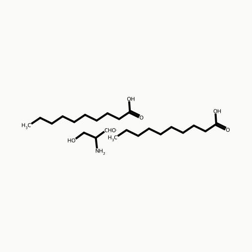 CCCCCCCCCC(=O)O.CCCCCCCCCC(=O)O.NC([C]=O)CO